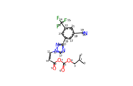 CC(C)COC(=O)OC(=O)/C=C\n1cnc(-c2cc(C#N)cc(C(F)(F)F)c2)n1